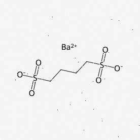 O=S(=O)([O-])CCCCS(=O)(=O)[O-].[Ba+2]